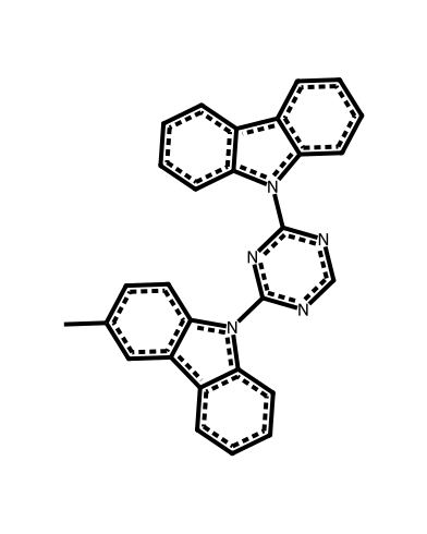 Cc1ccc2c(c1)c1ccccc1n2-c1ncnc(-n2c3ccccc3c3ccccc32)n1